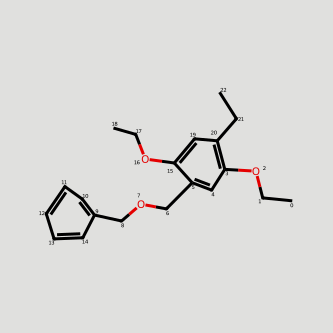 CCOc1cc(COCc2ccccc2)c(OCC)cc1CC